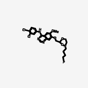 COc1cc2c(Nc3ccc(Cl)c(Cl)c3)ncnc2cc1OCC1CN(CCCCF)CCO1